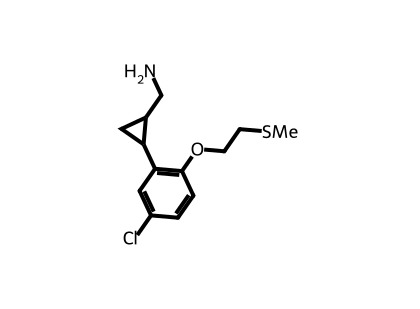 CSCCOc1ccc(Cl)cc1C1CC1CN